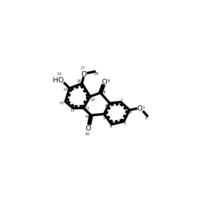 COc1ccc2c(c1)C(=O)c1c(ccc(O)c1OC)C2=O